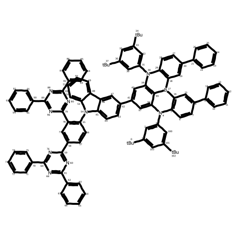 CC(C)(C)c1cc(N2c3ccc(-c4ccccc4)cc3B3c4cc(-c5ccccc5)ccc4N(c4cc(C(C)(C)C)cc(C(C)(C)C)c4)c4cc(-c5ccc6c(c5)c5ccccc5n6-c5ccc(-c6nc(-c7ccccc7)nc(-c7ccccc7)n6)cc5-c5nc(-c6ccccc6)nc(-c6ccccc6)n5)cc2c43)cc(C(C)(C)C)c1